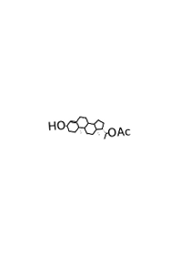 CC(=O)OC(C)[C@H]1CCC2C3CCC4=C[C@@H](O)CC[C@]4(C)C3CC[C@@]21C